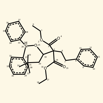 CCOC(=O)C(CCc1ccccc1)(C(=O)OCC)C(CC(C)(C)C)O[SiH](c1ccccc1)c1ccccc1